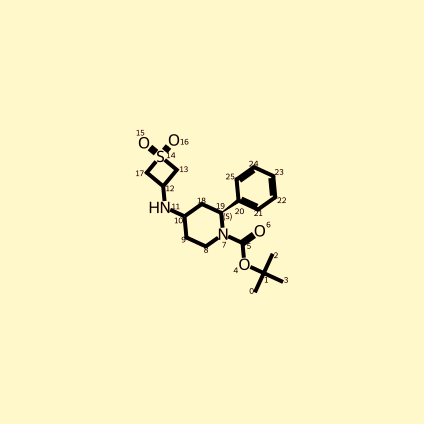 CC(C)(C)OC(=O)N1CCC(NC2CS(=O)(=O)C2)C[C@H]1c1ccccc1